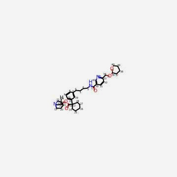 O=C(NCCCCc1cccc(C2(C(=O)O[C@H]3CN4CCC3CC4)CCCCC2)c1)c1ccc(COC2CCCCO2)nc1